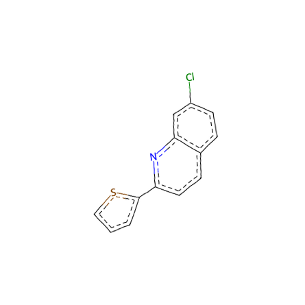 Clc1ccc2ccc(-c3cccs3)nc2c1